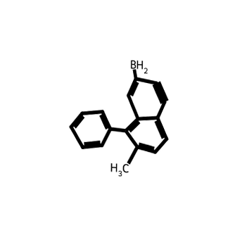 Bc1c#cc2ccc(C)c(-c3ccccc3)c2c1